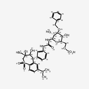 CCCC[C@]1(CC)CS(=O)(=O)c2ccc(N(C)C)cc2[C@@H](c2cccc(NC(=O)N[C@@H]3O[C@H](COS(=O)(=O)O)[C@@H](O)[C@H](OCc4ccccc4)[C@H]3O)c2)C1O